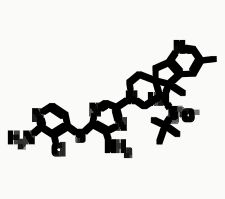 Cc1cnc2c(c1)C(C)(N[S@+]([O-])C(C)(C)C)C1(CCN(c3cnc(Sc4ccnc(N)c4Cl)c(N)n3)CC1)C2